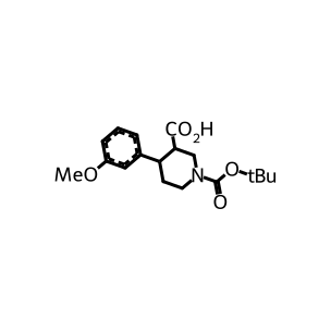 COc1cccc(C2CCN(C(=O)OC(C)(C)C)CC2C(=O)O)c1